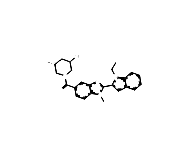 CCn1c(-c2nc3cc(C(=O)N4CC(N)C[C@H](N)C4)ccc3n2C)cc2ccccc21